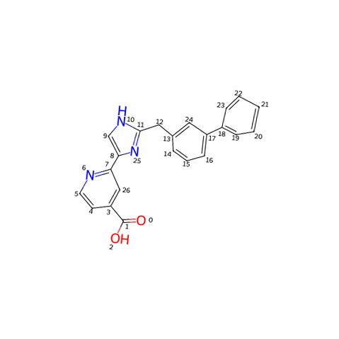 O=C(O)c1ccnc(-c2c[nH]c(Cc3cccc(-c4ccccc4)c3)n2)c1